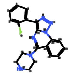 Fc1ccccc1-c1nnn2c1nc(N1CCNCC1)c1ccccc12